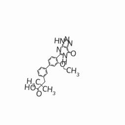 CCOc1cc(-c2cccc(CC(C)(C)C(=O)O)c2)ccc1-c1nc2[nH]nnc2c(=O)[nH]1